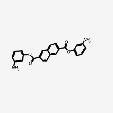 Nc1cccc(OC(=O)c2ccc3cc(C(=O)Oc4cccc(N)c4)ccc3c2)c1